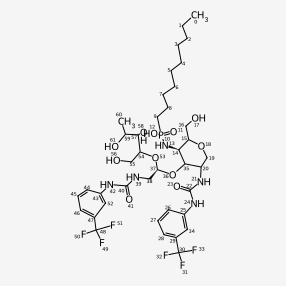 CCCCCCCCCCP(=O)(O)N[C@H]1C(CO)OCC(NC(=O)Nc2cccc(C(F)(F)F)c2)C1O[C@@H](CNC(=O)Nc1cccc(C(F)(F)F)c1)OC(CO)[C@@H](O)C(C)O